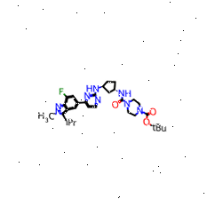 CC(C)c1c2cc(-c3ccnc(N[C@H]4CC[C@H](NC(=O)N5CCN(C(=O)OC(C)(C)C)CC5)C4)n3)cc(F)c2nn1C